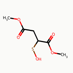 COC(=O)CC(SO)C(=O)OC